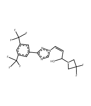 OC(/C=C\n1cnc(-c2cc(C(F)(F)F)cc(C(F)(F)F)c2)n1)N1CC(F)(F)C1